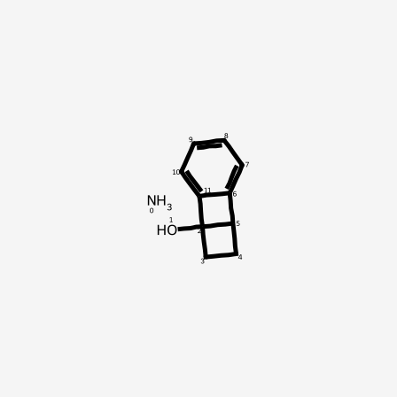 N.OC12CCC1c1ccccc12